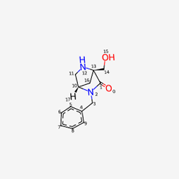 O=C1N(Cc2ccccc2)[C@@H]2CN[C@@]1(CO)C2